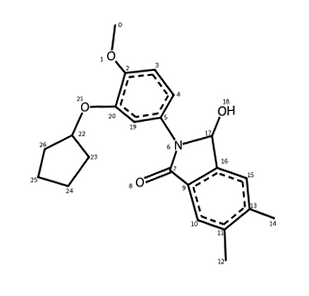 COc1ccc(N2C(=O)c3cc(C)c(C)cc3C2O)cc1OC1CCCC1